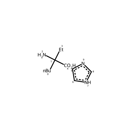 CCCCC(N)(CC)C(=O)O.c1c[nH]cn1